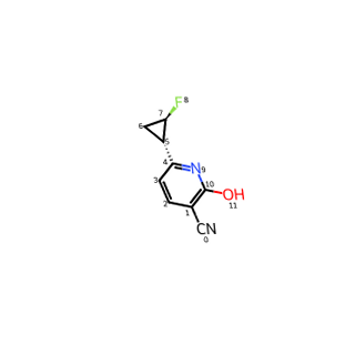 N#Cc1ccc([C@@H]2C[C@H]2F)nc1O